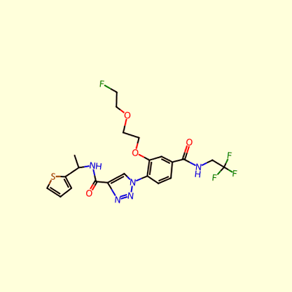 CC(NC(=O)c1cn(-c2ccc(C(=O)NCC(F)(F)F)cc2OCCOCCF)nn1)c1cccs1